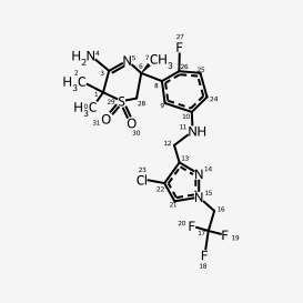 CC1(C)C(N)=N[C@](C)(c2cc(NCc3nn(CC(F)(F)F)cc3Cl)ccc2F)CS1(=O)=O